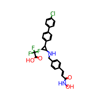 O=C(/C=C/c1ccc(CNC2CC2c2ccc(-c3ccc(Cl)cc3)cc2)cc1)NO.O=C(O)C(F)(F)F